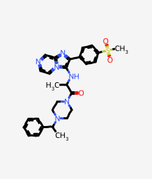 CC(Nc1c(-c2ccc(S(C)(=O)=O)cc2)nc2cnccn12)C(=O)N1CCN(C(C)c2ccccc2)CC1